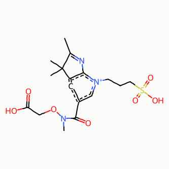 CC1=Nc2c(cc(C(=O)N(C)OCC(=O)O)c[n+]2CCCS(=O)(=O)O)C1(C)C